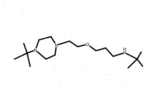 CC(C)(C)NCCCOCCN1CCN(C(C)(C)C)CC1